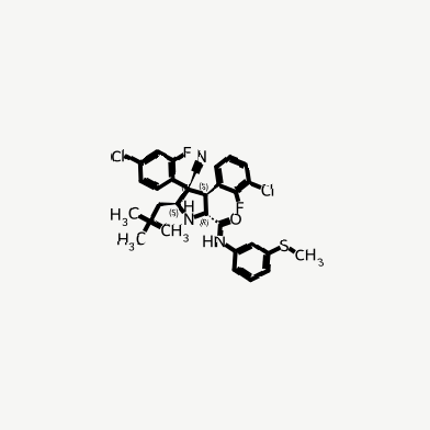 CSc1cccc(NC(=O)[C@@H]2N[C@@H](CC(C)(C)C)[C@](C#N)(c3ccc(Cl)cc3F)[C@H]2c2cccc(Cl)c2F)c1